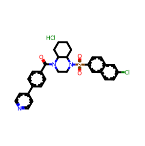 Cl.O=C(c1ccc(-c2ccncc2)cc1)N1CCN(S(=O)(=O)c2ccc3cc(Cl)ccc3c2)C2CCCCC21